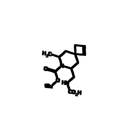 CC1CC2(C=CC2)CC(CNC(=O)O)N1C(=O)OC(C)(C)C